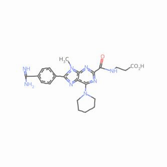 Cn1c(-c2ccc(C(=N)N)cc2)nc2c(N3CCCCC3)nc(C(=O)NCCC(=O)O)nc21